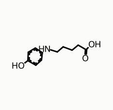 O=C(O)CCCCNc1ccc(O)cc1